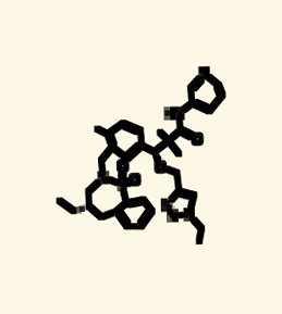 CC[C@H]1Cc2ccccc2S(=O)(=O)N(Cc2cc([C@H](OCc3cn(CC)nn3)C(C)(C)C(=O)Nc3cccnc3)ccc2C)C1